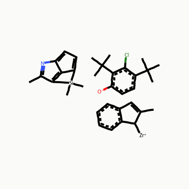 CC(C)(C)c1ccc([O-])c(C(C)(C)C)c1Cl.CC1=Cc2ccccc2[CH]1[Zr+].CC1=NC2=CC=C3C2=C1[Si]3(C)C